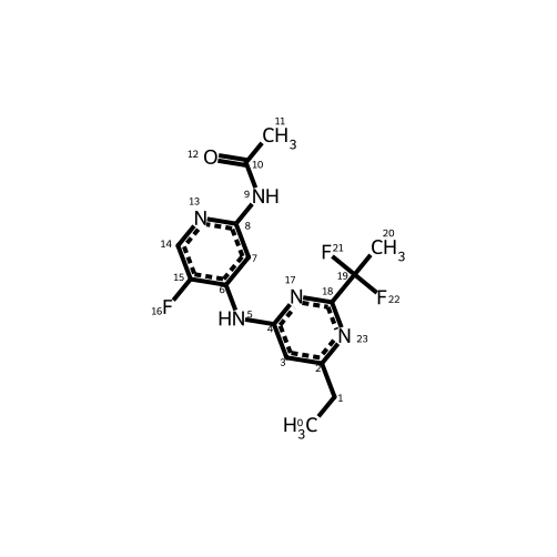 CCc1cc(Nc2cc(NC(C)=O)ncc2F)nc(C(C)(F)F)n1